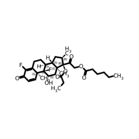 CCCCCC(=O)OCC(=O)[C@@]1(OC(=O)CC)[C@H](C)C[C@H]2[C@@H]3CCC4=C(F)C(=O)C=C[C@]4(C)[C@@]3(F)[C@@H](O)C[C@@]21C